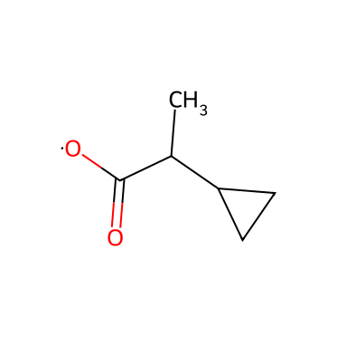 CC(C([O])=O)C1CC1